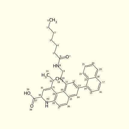 CCCCCCC(=O)NCCc1cc(-c2cccc3ccccc23)cc2ccc3c(c12)C(C(C)C)=CC(C(=O)O)N3